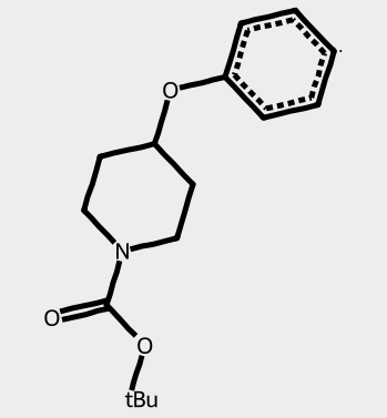 CC(C)(C)OC(=O)N1CCC(Oc2cc[c]cc2)CC1